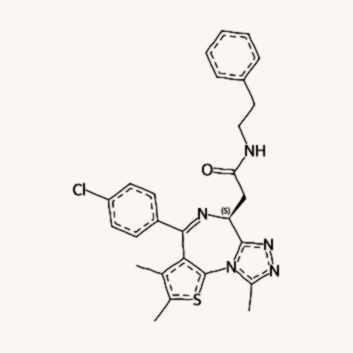 Cc1sc2c(c1C)C(c1ccc(Cl)cc1)=N[C@@H](CC(=O)NCCc1ccccc1)c1nnc(C)n1-2